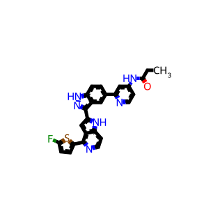 CCC(=O)Nc1ccnc(-c2ccc3[nH]nc(-c4cc5c(-c6ccc(F)s6)nccc5[nH]4)c3c2)c1